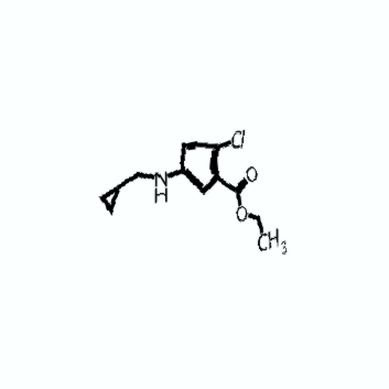 CCOC(=O)c1cc(NCC2CC2)ccc1Cl